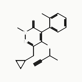 C#CC(C)Oc1c(CC2CC2)nn(C)c(=O)c1-c1ccccc1C